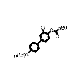 CCCCCCCc1ccc(-c2ccc(OC(=O)CCCC)c(Cl)c2)cc1